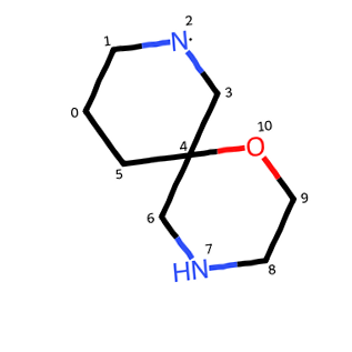 C1C[N]CC2(C1)CNCCO2